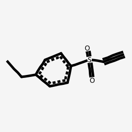 C#CS(=O)(=O)c1ccc(CC)cc1